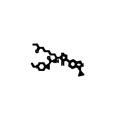 CCC(=O)CCCCC[C@H](NC(=O)[C@H]1CC12CCN(CC)CC2)c1ncc(-c2ccc3c(cnn3C3CC3)c2)[nH]1